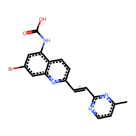 Cc1ccnc(/C=C/c2ccc3c(NC(=O)O)cc(Br)cc3n2)n1